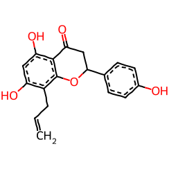 C=CCc1c(O)cc(O)c2c1OC(c1ccc(O)cc1)CC2=O